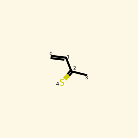 C=CC(C)=S